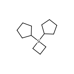 C1CCC([Si]2(C3CCCC3)CCC2)C1